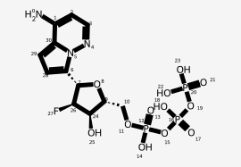 Nc1ccnn2c([C@@H]3O[C@H](COP(=O)(O)OP(=O)(O)OP(=O)(O)O)[C@@H](O)[C@H]3F)ccc12